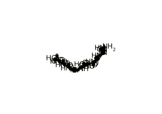 CSC[C@H](NC(=O)C[C@H](NC(=O)C[C@H](NC(=O)CN1CCN(CCNC(=O)C[C@H](NC(=O)CC[C@H](NC(=O)c2ccc(NCc3cnc4nc(N)[nH]c(=O)c4n3)cc2)C(=O)O)C(=O)O)CC1)C(=O)O)C(=O)O)C(=O)O